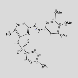 COc1cc(/N=N/c2ccc(O)c(OS(=O)(=O)c3ccc(C)cc3)c2)cc(OC)c1OC